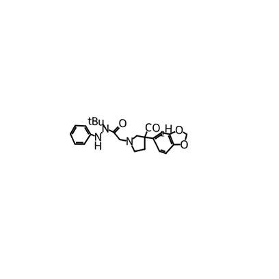 CC(C)(C)N(Nc1ccccc1)C(=O)CN1CCC(C(=O)O)(c2ccc3c(c2)OCO3)C1